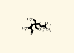 CCC(C=C(C)C=O)(CC)CC=C(C)C